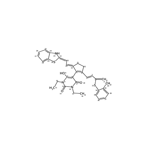 C=C(/C=C/C1=C(c2c(O)n(CC)c(=O)n(CC)c2=O)C(=C/C=C2/Nc3ccccc3S2)/CC1)Sc1ccccc1C